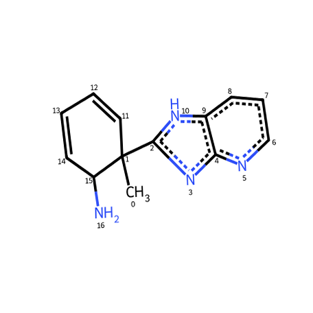 CC1(c2nc3ncccc3[nH]2)C=CC=CC1N